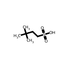 CC(C)(C)C[CH]S(=O)(=O)O